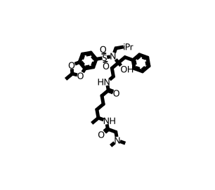 CC(C)CN(C(O)(CCNC(=O)CCCC(C)NC(=O)CN(C)C)Cc1ccccc1)S(=O)(=O)c1ccc2c(c1)OC(C)O2